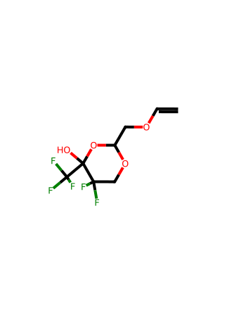 C=COCC1OCC(F)(F)C(O)(C(F)(F)F)O1